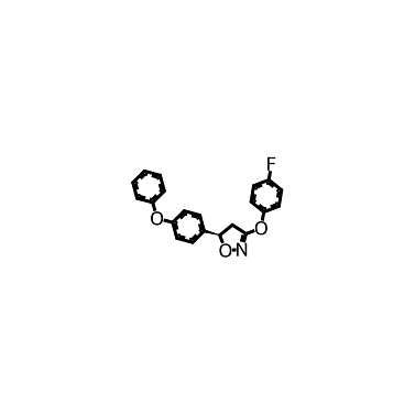 Fc1ccc(OC2=NO[C@@H](c3ccc(Oc4ccccc4)cc3)C2)cc1